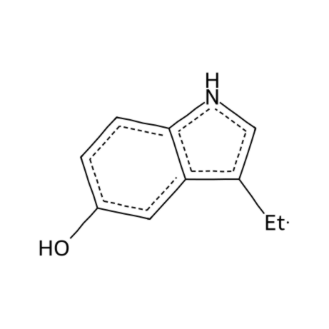 C[CH]c1c[nH]c2ccc(O)cc12